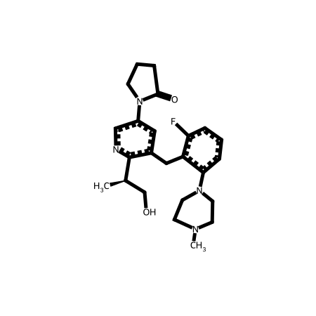 C[C@H](CO)c1ncc(N2CCCC2=O)cc1Cc1c(F)cccc1N1CCN(C)CC1